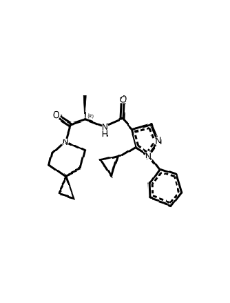 C[C@@H](NC(=O)c1cnn(-c2ccccc2)c1C1CC1)C(=O)N1CCC2(CC1)CC2